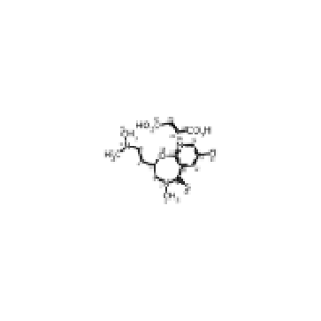 CN(C)CCC1CN(C)C(=S)c2cc(Cl)cnc2O1.O=C(O)C=CC(=O)O